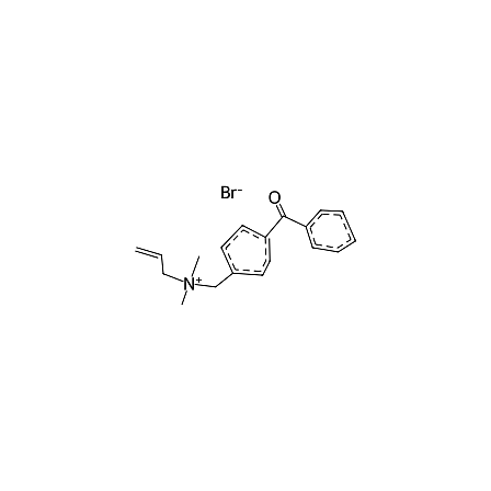 C=CC[N+](C)(C)Cc1ccc(C(=O)c2ccccc2)cc1.[Br-]